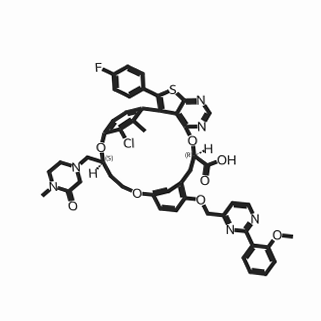 COc1ccccc1-c1nccc(COc2ccc3cc2C[C@H](C(=O)O)Oc2ncnc4sc(-c5ccc(F)cc5)c(c24)-c2ccc(c(Cl)c2C)O[C@H](CN2CCN(C)C(=O)C2)CCO3)n1